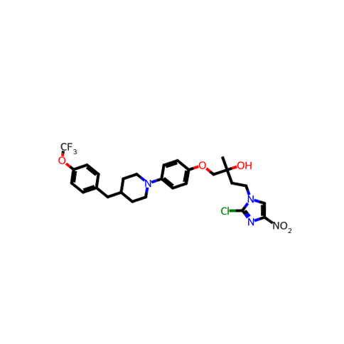 CC(O)(CCn1cc([N+](=O)[O-])nc1Cl)COc1ccc(N2CCC(Cc3ccc(OC(F)(F)F)cc3)CC2)cc1